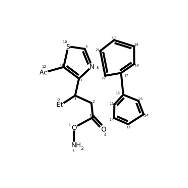 CCC(CC(=O)ON)c1ncsc1C(C)=O.c1ccc(-c2ccccc2)cc1